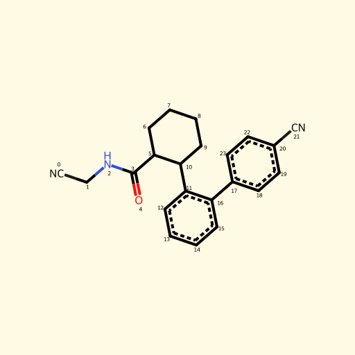 N#CCNC(=O)C1CCCCC1c1ccccc1-c1ccc(C#N)cc1